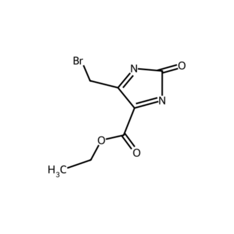 CCOC(=O)C1=NC(=O)N=C1CBr